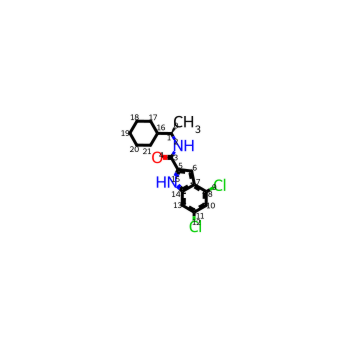 C[C@@H](NC(=O)c1cc2c(Cl)cc(Cl)cc2[nH]1)C1CCCCC1